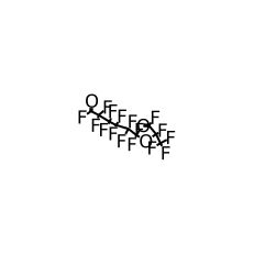 O=C(F)C(F)(F)C(F)(F)C(F)(F)C(F)(F)C(F)(F)OC(F)(C(=O)F)C(F)(F)F